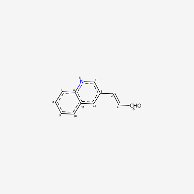 O=CC=Cc1cnc2ccccc2c1